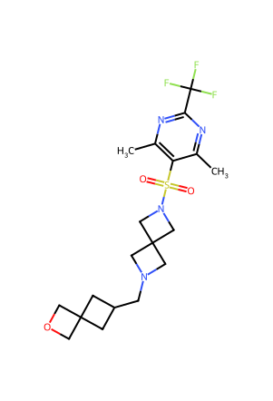 Cc1nc(C(F)(F)F)nc(C)c1S(=O)(=O)N1CC2(CN(CC3CC4(COC4)C3)C2)C1